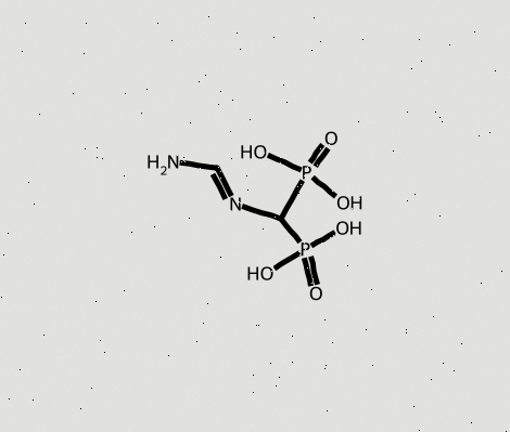 NC=NC(P(=O)(O)O)P(=O)(O)O